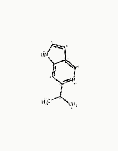 CC(C)c1cc2[nH]ccc2cn1